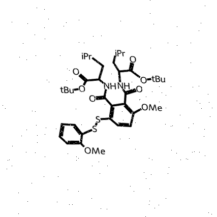 COc1ccccc1SSc1ccc(OC)c(C(=O)NC(CC(C)C)C(=O)OC(C)(C)C)c1C(=O)NC(CC(C)C)C(=O)OC(C)(C)C